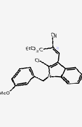 CCOC(=O)/C(C#N)=C\c1c(Cl)n(Cc2cccc(OC)c2)c2ccccc12